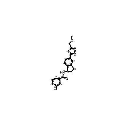 COCc1nc(-c2ccc3c(c2)CCC3NC(=O)c2ccnc(C)c2)no1